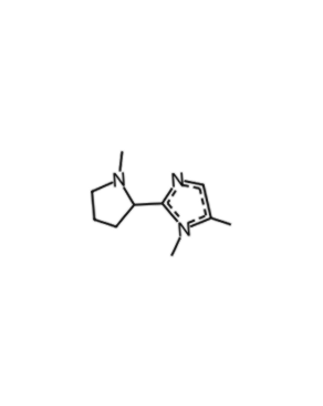 Cc1cnc(C2CCCN2C)n1C